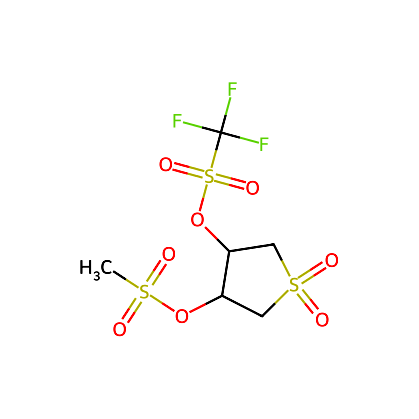 CS(=O)(=O)OC1CS(=O)(=O)CC1OS(=O)(=O)C(F)(F)F